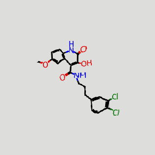 COc1ccc2[nH]c(=O)c(O)c(C(=O)NCCCc3ccc(Cl)c(Cl)c3)c2c1